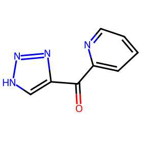 O=C(c1ccccn1)c1c[nH]nn1